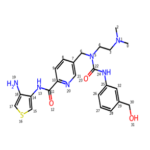 CN(C)CCN(Cc1ccc(C(=O)Nc2cscc2N)nc1)C(=O)Nc1cccc(CO)c1